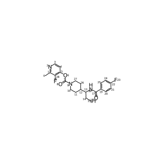 Cc1nccc(OC(=O)N2CCC(C(CC(C)C)NC(=O)c3ccc(F)cc3)CC2)c1F